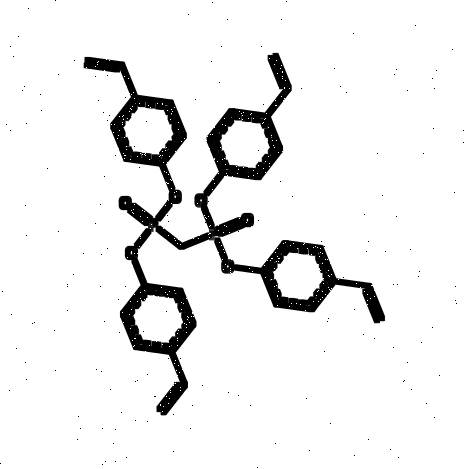 C=Cc1ccc(OP(=O)(CP(=O)(Oc2ccc(C=C)cc2)Oc2ccc(C=C)cc2)Oc2ccc(C=C)cc2)cc1